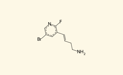 NCCC=Cc1cc(Br)cnc1F